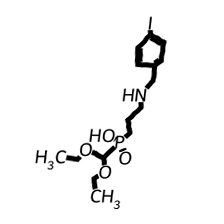 CCOC(OCC)P(=O)(O)CCCNCc1ccc(I)cc1